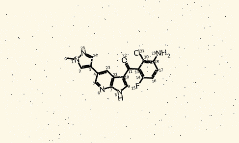 Cn1cc(-c2cnc3[nH]cc(C(=O)c4c(F)ccc(N)c4Cl)c3c2)cn1